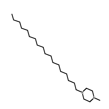 CCCCCCCCCCCCCCCCCCN1CCN(C)CC1